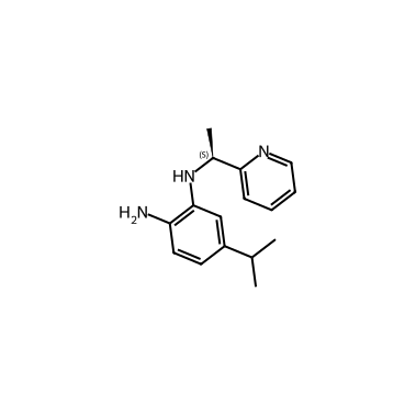 CC(C)c1ccc(N)c(N[C@@H](C)c2ccccn2)c1